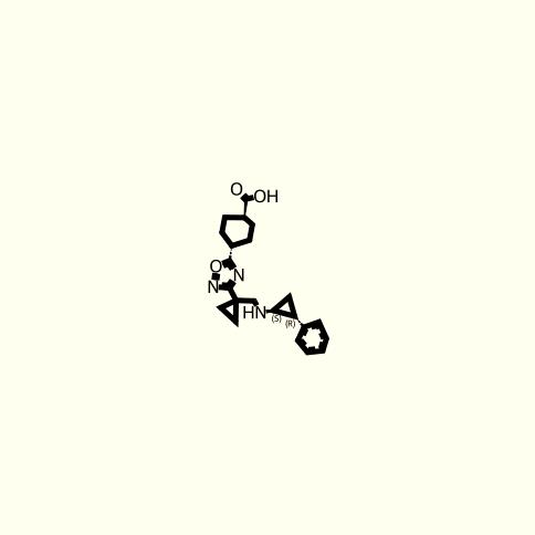 O=C(O)[C@H]1CC[C@H](c2nc(C3(CN[C@H]4C[C@@H]4c4ccccc4)CC3)no2)CC1